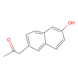 CC(=O)Cc1ccc2cc(O)ccc2c1